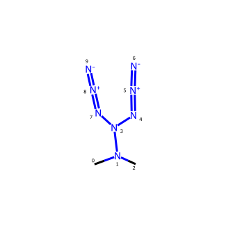 CN(C)N(N=[N+]=[N-])N=[N+]=[N-]